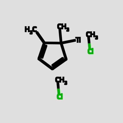 CC1=CC=C[C]1(C)[Ti].CCl.CCl